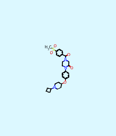 CS(=O)(=O)c1ccc(C(=O)N2CCN(c3ccc(OC4CCN(C5CCC5)CC4)cc3)C(=O)C2)cc1